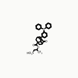 O=C1C2CC3CC(C(=O)OC(CS(=O)(=O)O)C(F)(F)F)(C2)CC1C3c1cccc([SH](c2ccccc2)c2ccccc2)c1